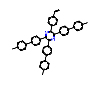 C=Cc1ccc(-c2nc(-c3ccc(-c4ccc(C)cc4)cc3)c(-c3ccc(-c4ccc(C)cc4)cc3)nc2-c2ccc(-c3ccc(C)cc3)cc2)cc1